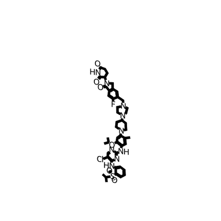 Cc1cc(Nc2ncc(Cl)c(Nc3ccccc3S(=O)(=O)C(C)C)n2)c(OC(C)C)cc1N1CCC(N2CCN(Cc3cc4c(cc3F)C(=O)N(C3CCC(=O)NC3=O)C4)CC2)CC1